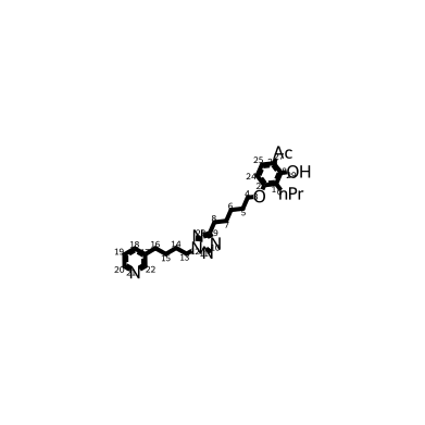 CCCc1c(OCCCCCc2nnn(CCCCc3cccnc3)n2)ccc(C(C)=O)c1O